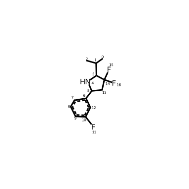 CC(C)C1NC(c2cccc(F)c2)CC1(F)F